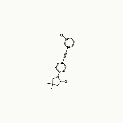 CC1(C)CC(=O)N(c2ccc(C#Cc3cncc(Cl)c3)cn2)C1